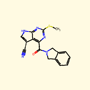 CSc1nc(C(=O)N2Cc3ccccc3C2)c2c(C#N)c[nH]c2n1